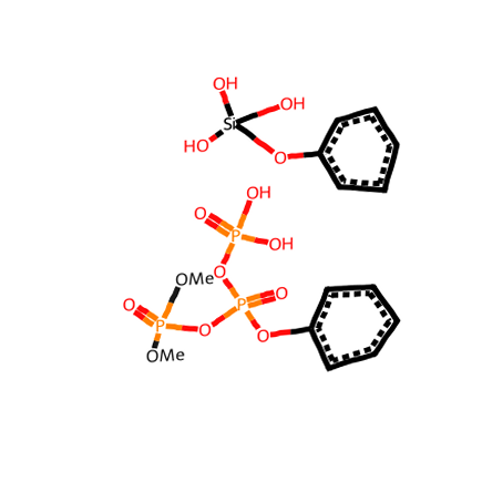 COP(=O)(OC)OP(=O)(Oc1ccccc1)OP(=O)(O)O.O[Si](O)(O)Oc1ccccc1